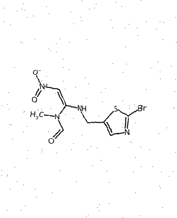 CN(C=O)C(=C[N+](=O)[O-])NCc1cnc(Br)s1